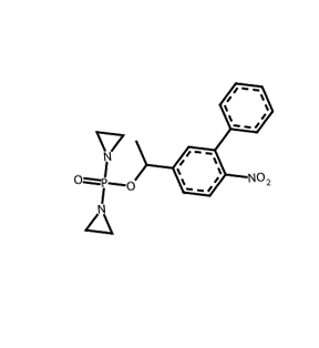 CC(OP(=O)(N1CC1)N1CC1)c1ccc([N+](=O)[O-])c(-c2ccccc2)c1